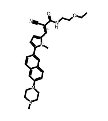 CCOCCNC(=O)/C(C#N)=C/c1ccc(-c2ccc3cc(N4CCN(C)CC4)ccc3c2)n1C